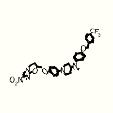 CN(c1ccc(OCc2ccc(C(F)(F)F)cc2)cc1)C1CCN(c2ccc(OCC3CCn4cc([N+](=O)[O-])nc4O3)cc2)CC1